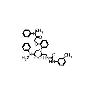 Cc1cccc(NC(=O)NCC(=O)N(CC(=O)N(C)c2ccccc2)c2ccccc2OCC(=O)N(C)c2ccccc2)c1